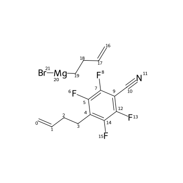 C=CCCc1c(F)c(F)c(C#N)c(F)c1F.C=CC[CH2][Mg][Br]